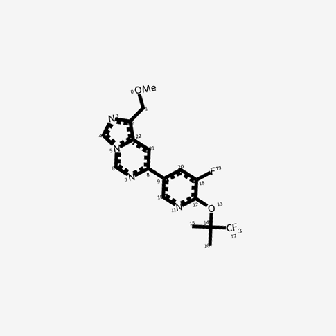 COCc1ncn2cnc(-c3cnc(OC(C)(C)C(F)(F)F)c(F)c3)cc12